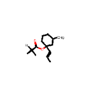 C/C=C/C1(OC(=O)C(C)(C)CC)CCCC(C=O)C1